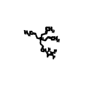 C=CC[P+](CC=C)(CC=C)CC=C.F[B-](F)(F)F